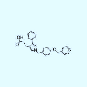 O=C(O)CCc1cn(Cc2ccc(OCc3ccncc3)cc2)cc1-c1ccccc1